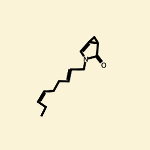 CC/C=C\CC/C=C/CN1C=C2CC2C1=O